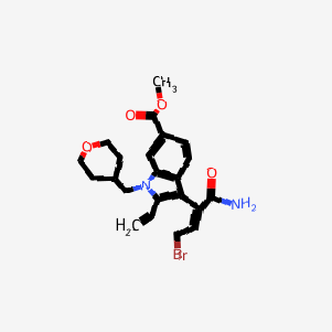 C=Cc1c(/C(=C\CBr)C(N)=O)c2ccc(C(=O)OC)cc2n1CC1CCOCC1